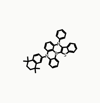 CC1(C)CCC(C)(C)c2cc(N3c4ccccc4B4c5sc6ccccc6c5N(c5ccccc5)c5cccc3c54)ccc21